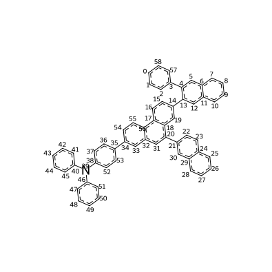 c1ccc(-c2cc3ccccc3cc2-c2ccc3c(c2)c(-c2ccc4ccccc4c2)cc2cc(-c4ccc(N(c5ccccc5)c5ccccc5)cc4)ccc23)cc1